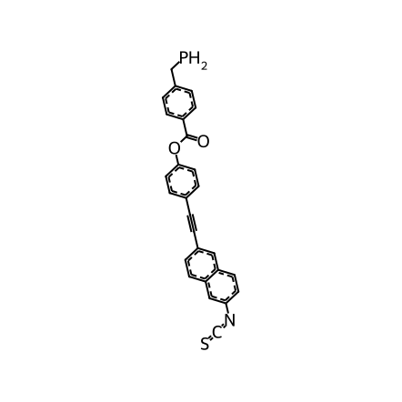 O=C(Oc1ccc(C#Cc2ccc3cc(N=C=S)ccc3c2)cc1)c1ccc(CP)cc1